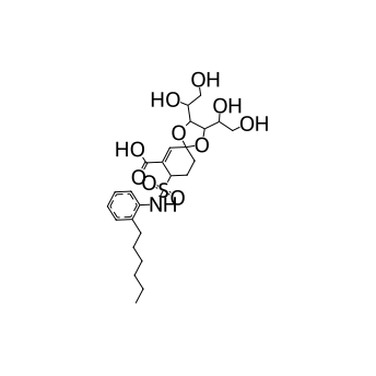 CCCCCCc1ccccc1NS(=O)(=O)C1CCC2(C=C1C(=O)O)OC(C(O)CO)C(C(O)CO)O2